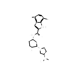 CC(=O)N(C)C1CCN([C@@H]2C[C@H](NC(=O)c3cc4c(F)ccc(C)c4[nH]3)CC[C@H]2F)C1